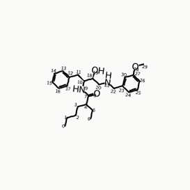 CCCCC(CC)C(=O)N[C@@H](Cc1ccccc1)[C@@H](O)CNCc1cccc(OC)c1